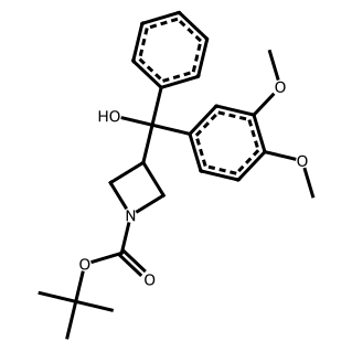 COc1ccc(C(O)(c2ccccc2)C2CN(C(=O)OC(C)(C)C)C2)cc1OC